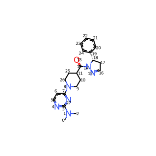 CN(C)c1nccc(N2CCC(C(=O)N3N=CC[C@H]3c3ccccc3)CC2)n1